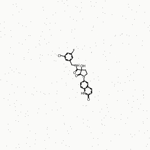 O=C(NCc1cc(F)cc(Cl)c1)C1(O)CCN(c2ccc3[nH]c(=O)ccc3c2)C1=O